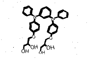 OCC(O)COc1ccc(N(c2ccccc2)c2cccc(N(c3ccccc3)c3ccc(OCC(O)CO)cc3)c2)cc1